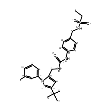 CCS(=O)(=O)NCc1ccc(NC(=O)NCc2cc(C(C)(C)C)nn2-c2cccc(C)c2)cc1